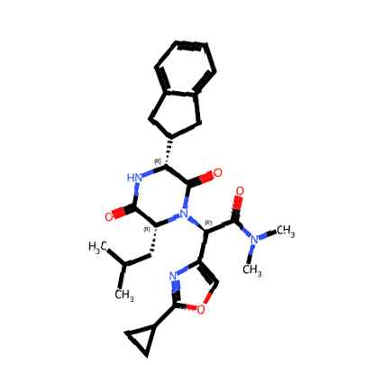 CC(C)C[C@@H]1C(=O)N[C@H](C2Cc3ccccc3C2)C(=O)N1[C@@H](C(=O)N(C)C)c1coc(C2CC2)n1